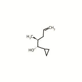 C=CC[C@H](C)[C@@H](O)C1CC1